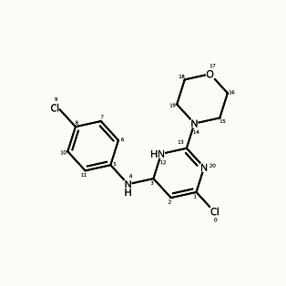 ClC1=CC(Nc2ccc(Cl)cc2)NC(N2CCOCC2)=N1